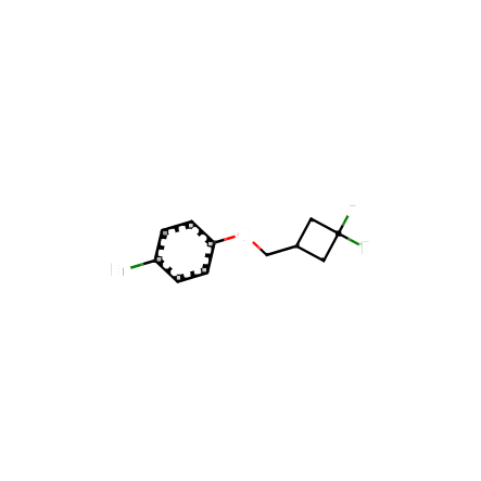 FC1(F)CC(COc2ccc(Br)cc2)C1